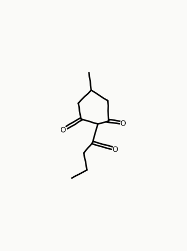 CCCC(=O)C1C(=O)CC(C)CC1=O